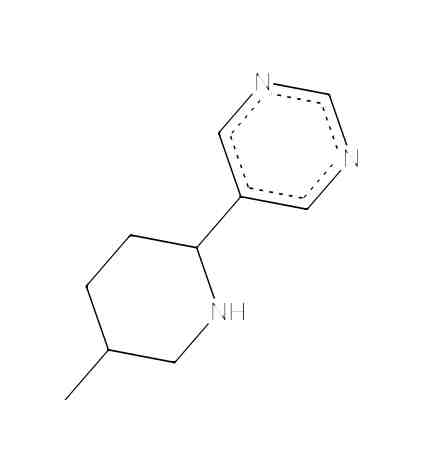 CC1CCC(c2cncnc2)NC1